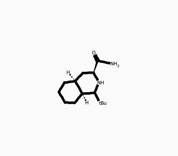 CC(C)(C)C1N[C@H](C(N)=O)C[C@@H]2CCCC[C@H]12